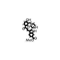 COC(=O)c1ccc2c(/C=C3\Oc4c(ccc(O)c4CN4CCNCC4)C3=O)c[nH]c2c1